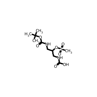 CC(C)(C)OC(=O)NCC(CNC(=O)O)OS(C)(=O)=O